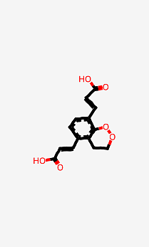 O=C(O)C=Cc1ccc(C=CC(=O)O)c2c1CCOO2